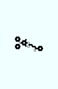 Cc1cc([S+](c2ccccc2)c2ccccc2)cc(C)c1OC(=O)CCCC(=O)c1ccccc1